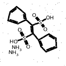 N.N.O=S(=O)(O)C(=C(c1ccccc1)S(=O)(=O)O)c1ccccc1